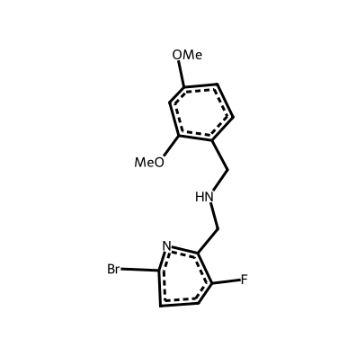 COc1ccc(CNCc2nc(Br)ccc2F)c(OC)c1